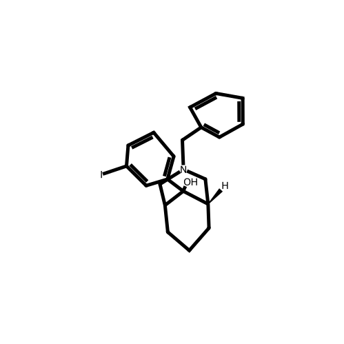 OC1(c2cccc(I)c2)C2CCC[C@H]1CN(Cc1ccccc1)C2